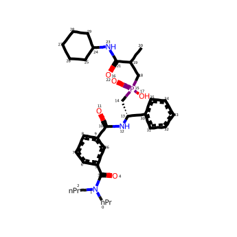 CCCN(CCC)C(=O)c1cccc(C(=O)N[C@H](CP(=O)(O)CC(C)C(=O)NC2CCCCC2)c2ccccc2)c1